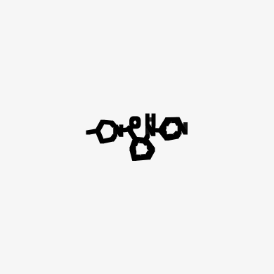 CC1CCN(C(=O)c2ccccc2Nc2ccncc2)CC1